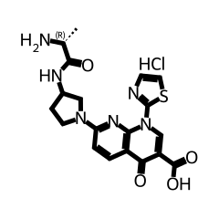 C[C@@H](N)C(=O)NC1CCN(c2ccc3c(=O)c(C(=O)O)cn(-c4nccs4)c3n2)C1.Cl